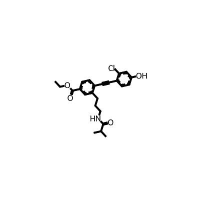 CCOC(=O)c1ccc(C#Cc2ccc(O)cc2Cl)c(CCCNC(=O)C(C)C)c1